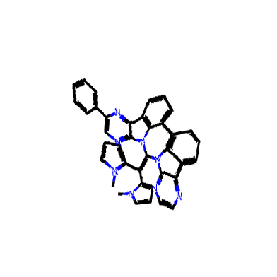 Cn1cccc1C(c1cccn1C)=c1n2c3nccnc3c3cccc(c4cccc5c6nc(-c7ccccc7)cnc6n1c45)c32